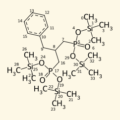 C[Si](C)(C)OP(=O)(CC(Cc1ccccc1)CP(=O)(O[Si](C)(C)C)O[Si](C)(C)C)O[Si](C)(C)C